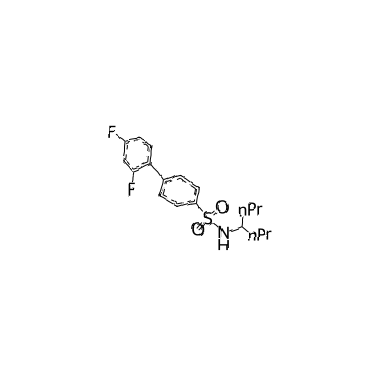 CCCC(CCC)NS(=O)(=O)c1ccc(-c2ccc(F)cc2F)cc1